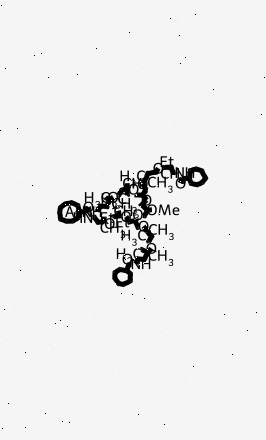 C=CC(C)(CCNC(=O)C1CCCCCCC1)OCCC(C)(C)OCC(COC(C)(CC)COC(C)(CC)CCNC(=O)C1CCCCCCCCC1)OCC(COC(COC(C)(C)CCOC(C)(CC)CCNC(=O)C1CCCCCCC1)COC(C)(C=C)CCOC(C)(C)CCNC(C)=O)OC